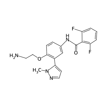 Cn1nccc1-c1cc(NC(=O)c2c(F)cccc2F)ccc1OCCN